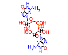 Nc1nc2c(ncn2[C@@H]2O[C@@H]3COP(=O)(O)O[C@@H]4C(COP(=O)(O)O[C@H]3[C@H]2O)O[C@@H](n2cnc3c(=O)[nH]c(N)nc32)[C@@H]4O)c(=O)[nH]1